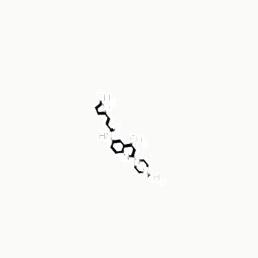 Cc1ccc(C=CC(=O)Nc2ccc3nc(N4CCN(C)CC4)cc(C)c3c2)o1